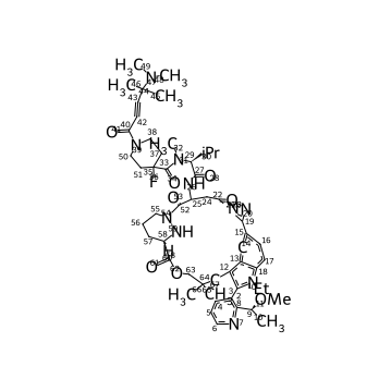 CCn1c(-c2cccnc2[C@H](C)OC)c2c3cc(ccc31)-c1noc(n1)CC(NC(=O)[C@H](C(C)C)N(C)C(=O)C1(F)CCN(C(=O)C#CC(C)(C)N(C)C)CC1)C(=O)N1CCC[C@H](N1)C(=O)OCC(C)(C)C2